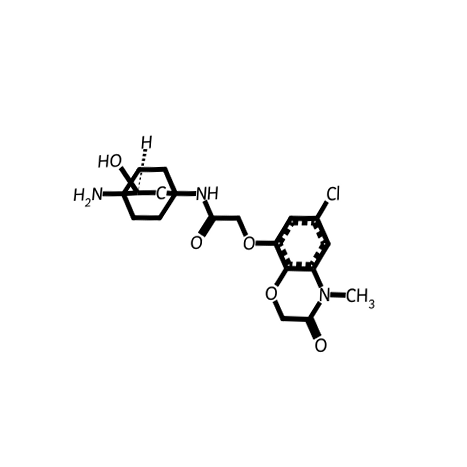 CN1C(=O)COc2c(OCC(=O)NC34CCC(N)(CC3)[C@@H](O)C4)cc(Cl)cc21